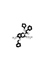 Cc1ccc2c(c1OCc1ccccc1)C[C@H](C(=O)O)N(C(=O)[C@H](OC1CCCC1)c1ccccc1)C2